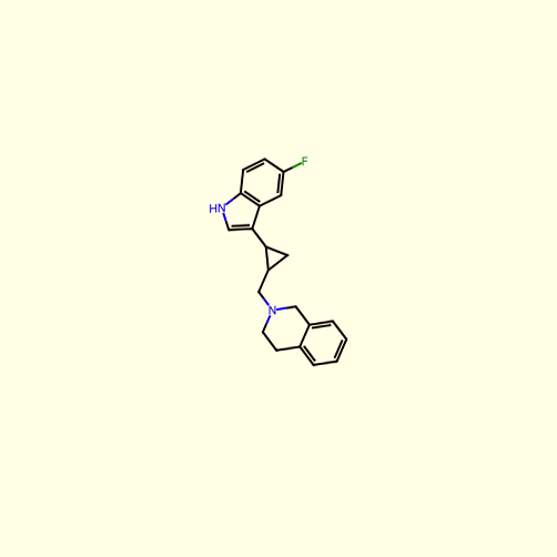 Fc1ccc2[nH]cc(C3CC3CN3CCc4ccccc4C3)c2c1